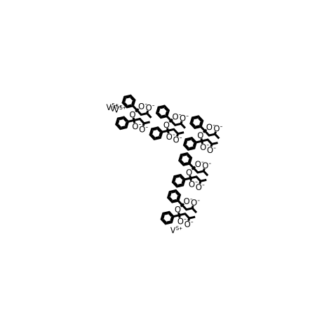 CC([O-])CC([O-])(OC([O-])(CC(C)[O-])c1ccccc1)c1ccccc1.CC([O-])CC([O-])(OC([O-])(CC(C)[O-])c1ccccc1)c1ccccc1.CC([O-])CC([O-])(OC([O-])(CC(C)[O-])c1ccccc1)c1ccccc1.CC([O-])CC([O-])(OC([O-])(CC(C)[O-])c1ccccc1)c1ccccc1.CC([O-])CC([O-])(OC([O-])(CC(C)[O-])c1ccccc1)c1ccccc1.[V+5].[V+5].[V+5].[V+5]